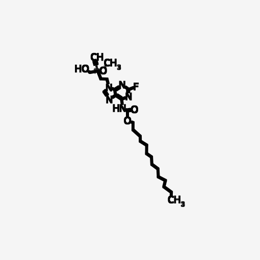 C#C[C@@](CO)(CCn1cnc2c(NC(=O)OCCCCCCCCCCCCCC)nc(F)nc21)OC